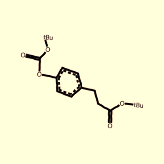 CC(C)(C)OC(=O)CCc1ccc(OC(=O)OC(C)(C)C)cc1